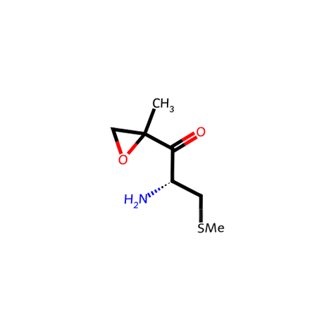 CSC[C@H](N)C(=O)C1(C)CO1